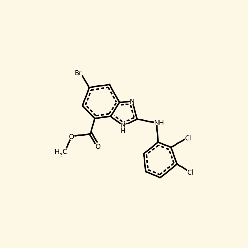 COC(=O)c1cc(Br)cc2nc(Nc3cccc(Cl)c3Cl)[nH]c12